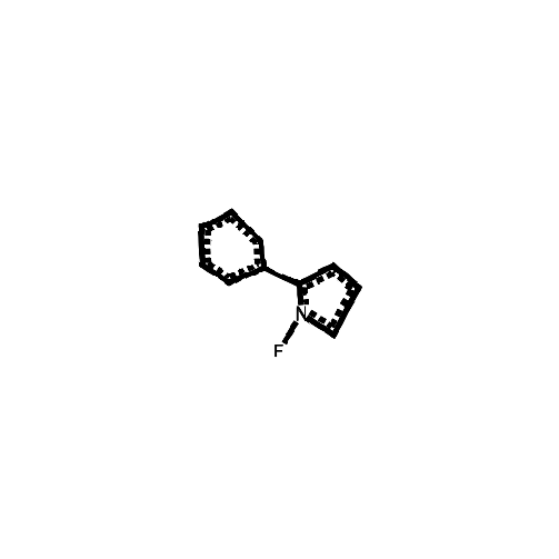 Fn1cccc1-c1ccccc1